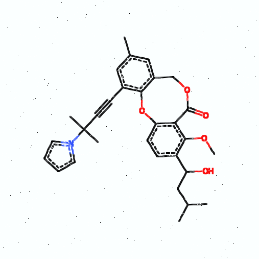 COc1c(C(O)CC(C)C)ccc2c1C(=O)OCc1cc(C)cc(C#CC(C)(C)n3cccc3)c1O2